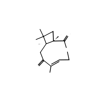 C=C1CC/C=C(\C)C(=O)C[C@@H]2[C@@H]1CC2(C)C